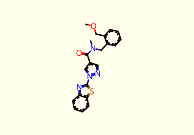 COCc1ccccc1CN(C)C(=O)c1cnn(-c2nc3ccccc3s2)c1